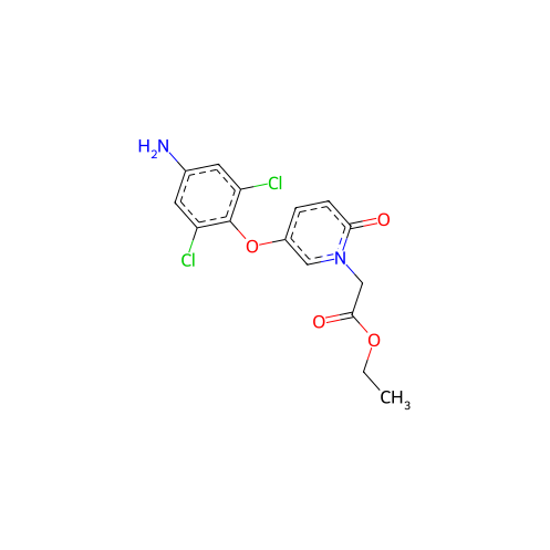 CCOC(=O)Cn1cc(Oc2c(Cl)cc(N)cc2Cl)ccc1=O